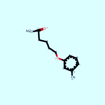 COC(=O)CCCCOc1cccc(C#N)c1